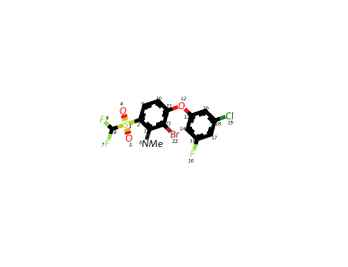 CNc1c(S(=O)(=O)C(F)F)ccc(Oc2cc(F)cc(Cl)c2)c1Br